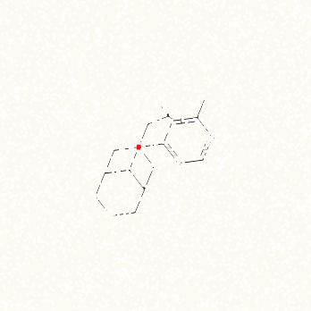 Cc1c(Cl)ncnc1OC1C2COCC1CN(CC(F)(F)F)C2